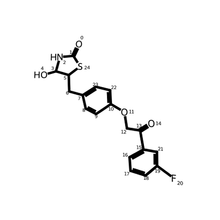 O=C1NC(O)C(Cc2ccc(OCC(=O)c3cccc(F)c3)cc2)S1